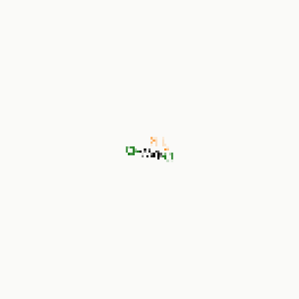 P.[Cl][Mg][Cl]